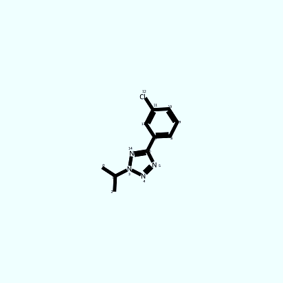 CC(C)n1nnc(-c2cccc(Cl)c2)n1